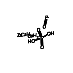 O=S(=O)(O)O.O=[P].[CaH2].[CaH2].[Zn]